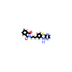 O=C1c2ccccc2C(=O)N1CCCc1ccc2c(c1)Nc1nccnc1S2